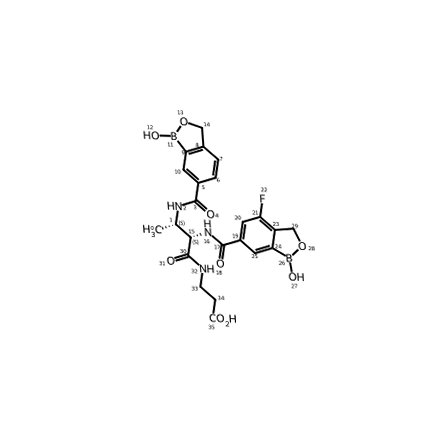 C[C@H](NC(=O)c1ccc2c(c1)B(O)OC2)[C@H](NC(=O)c1cc(F)c2c(c1)B(O)OC2)C(=O)NCCC(=O)O